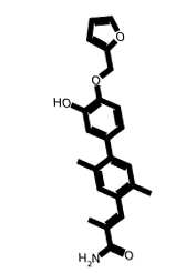 C/C(=C\c1cc(C)c(-c2ccc(OCc3ccco3)c(O)c2)cc1C)C(N)=O